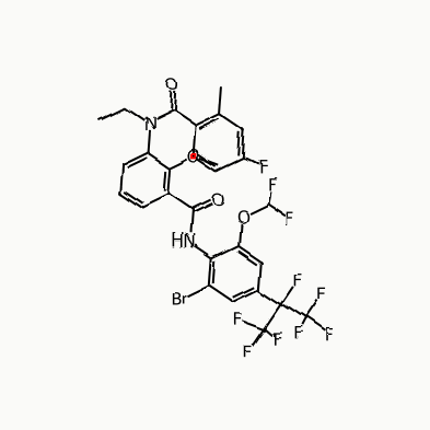 CCN(C(=O)c1ccc(F)cc1C)c1cccc(C(=O)Nc2c(Br)cc(C(F)(C(F)(F)F)C(F)(F)F)cc2OC(F)F)c1OC